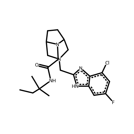 CCC(C)(C)NC(=O)CN1C2CCC1CN(Cc1nc3c(Cl)cc(F)cc3[nH]1)C2